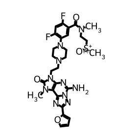 CN(CC[S@+](C)[O-])C(=O)c1cc(N2CCN(CCn3c(=O)n(C)c4c3nc(N)n3nc(-c5ccco5)nc43)CC2)c(F)cc1F